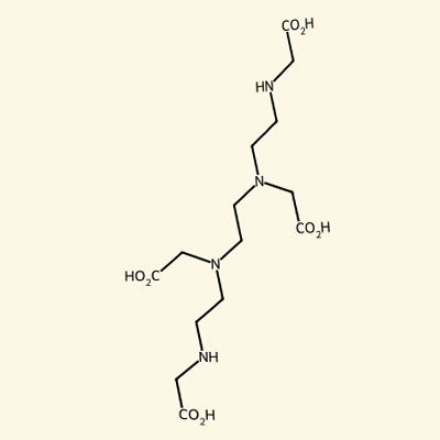 O=C(O)CNCCN(CCN(CCNCC(=O)O)CC(=O)O)CC(=O)O